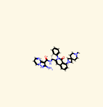 C[C@@H](NC(=O)c1c(N)nn2cccnc12)c1cc2cccc(N3CC4(CCN(C)CC4)C3)c2c(=O)n1-c1ccccc1